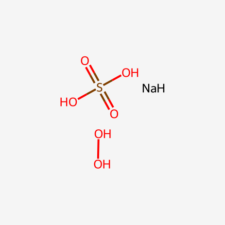 O=S(=O)(O)O.OO.[NaH]